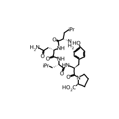 CC(C)C[C@H](NC(=O)[C@H](CC(N)=O)NC(=O)[C@@H](N)CC(C)C)C(=O)N[C@@H](Cc1ccc(O)cc1)C(=O)N1CCC[C@H]1C(=O)O